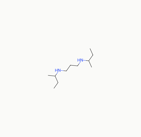 CCC(C)NCCCNC(C)CC